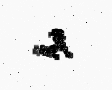 CC(C)(C)OC(=O)N1CCN(c2nc(OCC3COC3)nc3c(F)c(-c4cccc5ccc(F)c(Cl)c45)ncc23)C[C@@H]1CC#N